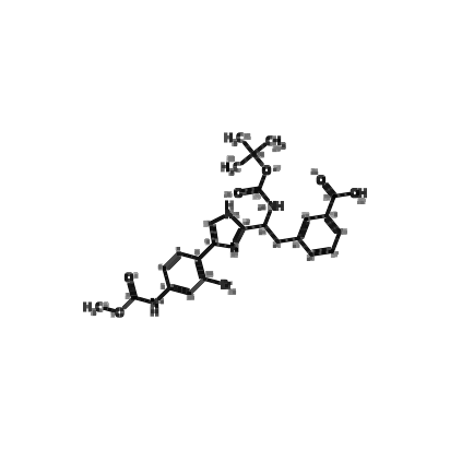 COC(=O)Nc1ccc(-c2c[nH]c(C(Cc3cccc(C(=O)O)c3)NC(=O)OC(C)(C)C)n2)c(Br)c1